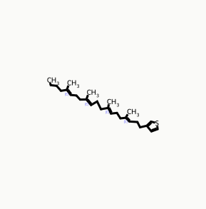 CCCC/C(C)=C/CC/C(C)=C/CC/C(C)=C/CC/C(C)=C/CCc1ccsc1